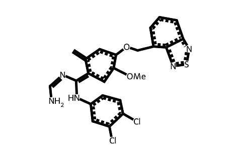 C=c1cc(OCc2cccc3nsnc23)c(OC)c/c1=C(/N=C\N)Nc1ccc(Cl)c(Cl)c1